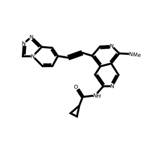 CNc1ncc(C#Cc2ccn3cnnc3c2)c2cc(NC(=O)C3CC3)ncc12